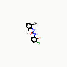 Cc1cccc(C)c1NC(=O)Nc1cccc(Cl)c1O